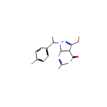 CC1=NC2C(C(=O)N1)C(CO)=NN2C(c1ccc(C(F)(F)F)cc1)C(F)(F)F